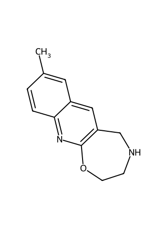 Cc1ccc2nc3c(cc2c1)CNCCO3